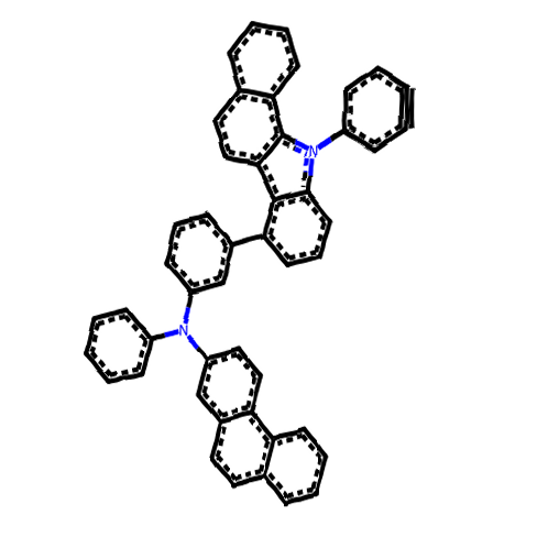 c1ccc(-n2c3cccc(-c4cccc(N(c5ccccc5)c5ccc6c(ccc7ccccc76)c5)c4)c3c3ccc4ccccc4c32)cc#1